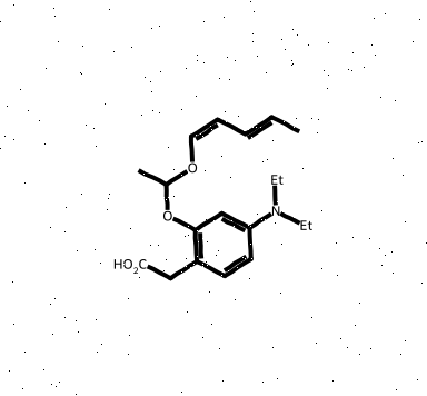 C/C=C/C=C\OC(C)Oc1cc(N(CC)CC)ccc1CC(=O)O